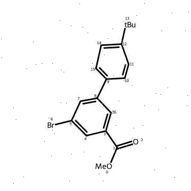 COC(=O)c1cc(Br)cc(-c2ccc(C(C)(C)C)cc2)c1